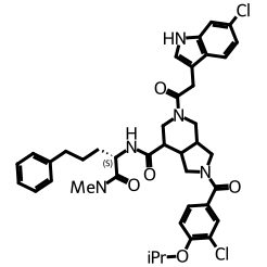 CNC(=O)[C@H](CCCc1ccccc1)NC(=O)C1CN(C(=O)Cc2c[nH]c3cc(Cl)ccc23)CC2CN(C(=O)c3ccc(OC(C)C)c(Cl)c3)CC21